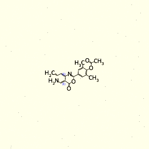 C=C/C=c1/nc(-c2cc(C)c(OC(C)=O)c(C)c2)oc(=O)/c1=C/N